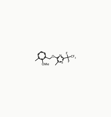 COc1c(C)cccc1COc1nc(C(F)(F)C(F)(F)F)sc1C